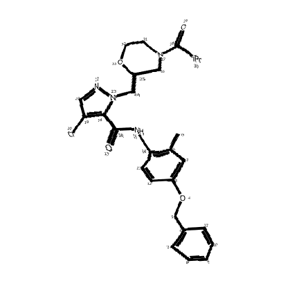 Cc1cc(OCc2ccccc2)ccc1NC(=O)c1c(Cl)cnn1CC1CN(C(=O)C(C)C)CCO1